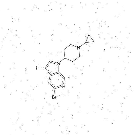 Brc1cc2c(I)cn(C3CCN(C4CC4)CC3)c2cn1